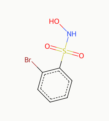 O=S(=O)(NO)c1ccccc1Br